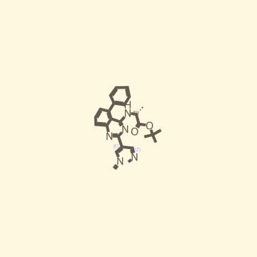 C=N/C=C(\C=N/C)c1nc(N[C@H](C)C(=O)OC(C)(C)C)c2c(-c3ccccc3)cccc2n1